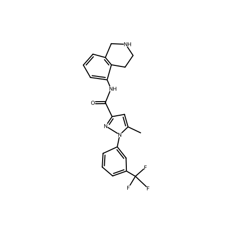 Cc1cc(C(=O)Nc2cccc3c2CCNC3)nn1-c1cccc(C(F)(F)F)c1